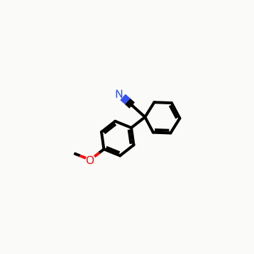 COc1ccc(C2(C#N)C=CC=CC2)cc1